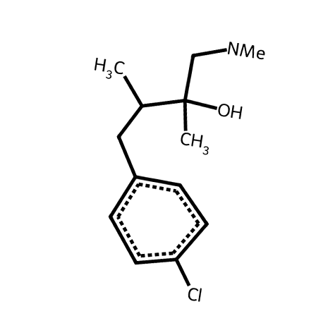 CNCC(C)(O)C(C)Cc1ccc(Cl)cc1